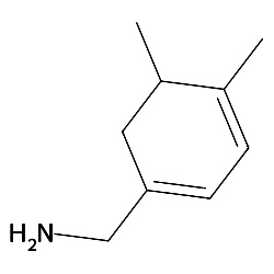 CC1=CC=C(CN)CC1C